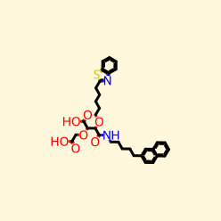 O=C(O)COC(C(=O)O)C(OCCCCCc1nc2ccccc2s1)C(=O)NCCCCCc1ccc2ccccc2c1